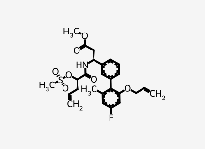 C=CCOc1cc(F)cc(C)c1-c1cccc([C@H](CC(=O)OC)NC(=O)[C@@H](CC=C)OS(C)(=O)=O)c1